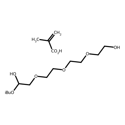 C=C(C)C(=O)O.CC(C)COC(O)COCCOCCOCCO